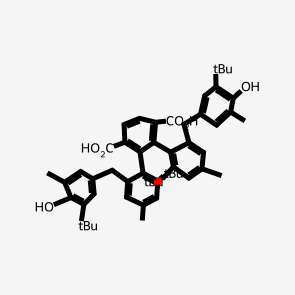 Cc1cc(Cc2cc(C)c(O)c(C(C)(C)C)c2)c(-c2c(C(=O)O)ccc(C(=O)O)c2-c2c(Cc3cc(C)c(O)c(C(C)(C)C)c3)cc(C)cc2C(C)(C)C)c(C(C)(C)C)c1